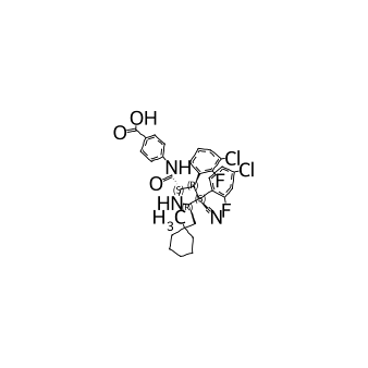 CC1(C[C@H]2N[C@H](C(=O)Nc3ccc(C(=O)O)cc3)[C@@H](c3cccc(Cl)c3F)[C@]2(C#N)c2ccc(Cl)cc2F)CCCCC1